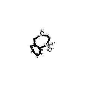 [O-][NH+]1CCNCc2ccccc21